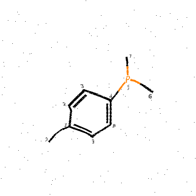 Cc1ccc(P(C)C)cc1